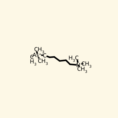 C[N+](C)(C)CCCCCC[As+](C)(C)C